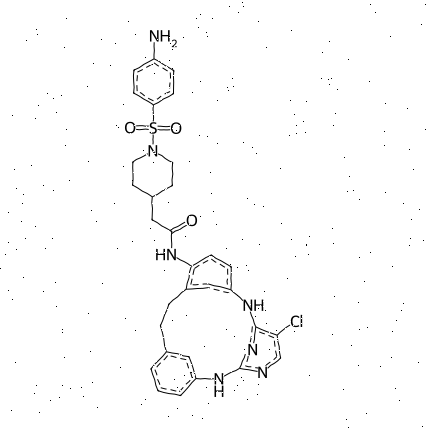 Nc1ccc(S(=O)(=O)N2CCC(CC(=O)Nc3ccc4cc3CCc3cccc(c3)Nc3ncc(Cl)c(n3)N4)CC2)cc1